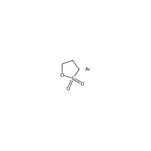 O=S1(=O)CCCO1.[Ar]